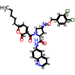 CCCCCc1ccc(C(=O)N2C/C(=N/OCc3ccc(Cl)c(Cl)c3)C[C@H]2C(=O)Nc2ccc3ncccc3c2)c(=O)o1